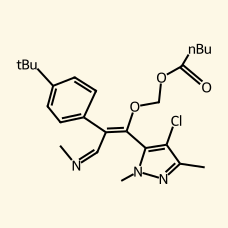 CCCCC(=O)OCO/C(=C(/C=N\C)c1ccc(C(C)(C)C)cc1)c1c(Cl)c(C)nn1C